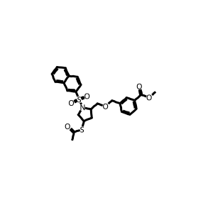 COC(=O)c1cccc(COCC2CC(SC(C)=O)CN2S(=O)(=O)c2ccc3ccccc3c2)c1